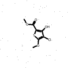 COC(=O)c1sc(OC)c(Cl)c1O